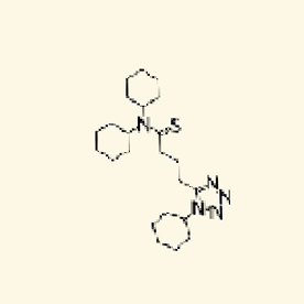 S=C(CCCc1nnnn1C1CCCCC1)N(C1CCCCC1)C1CCCCC1